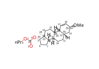 CCCOC(=O)O[C@H]1CC[C@H]2[C@@H]3CC[C@H]4C[C@H](OC)C=C[C@]4(C)[C@H]3CC[C@]12C